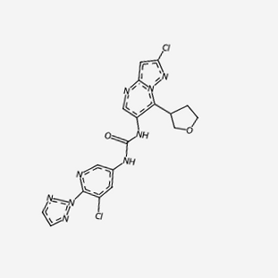 O=C(Nc1cnc(-n2nccn2)c(Cl)c1)Nc1cnc2cc(Cl)nn2c1C1CCOC1